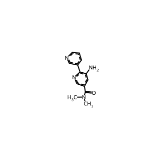 CN(C)C(=O)c1cnc(-c2cccnc2)c(N)c1